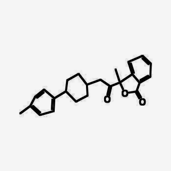 Cc1ccc(C2CCC(CC(=O)C3(C)OC(=O)c4ccccc43)CC2)cc1